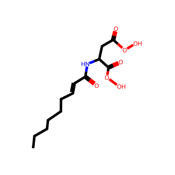 CCCCCCC=CC(=O)NC(CC(=O)OO)C(=O)OO